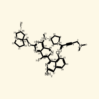 CN(C)CC#CC(=O)N1CC[C@@H](N(C)c2nc(OC[C@@]34CCCN3C[C@H](F)C4)nc3c(F)c(-c4nc(N)cc5cccc(Cl)c45)ncc23)C1